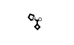 O=C([C]1CCC1)N1CCCC1